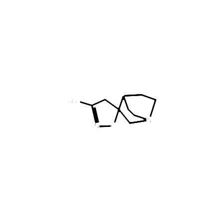 CCCCC1=NOC2(C1)CN1CCC2CC1